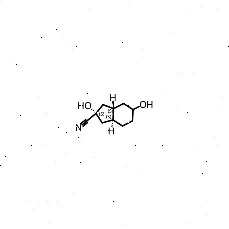 N#C[C@]1(O)C[C@@H]2CCC(O)C[C@H]2C1